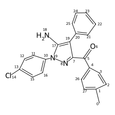 Cc1ccc(C(=O)c2nn(-c3ccc(Cl)cc3)c(N)c2-c2ccccc2)cc1